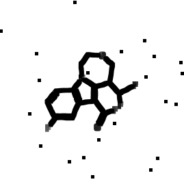 O=C(F)c1c2n(c3ccc(F)cc13)CCOCC2C(F)F